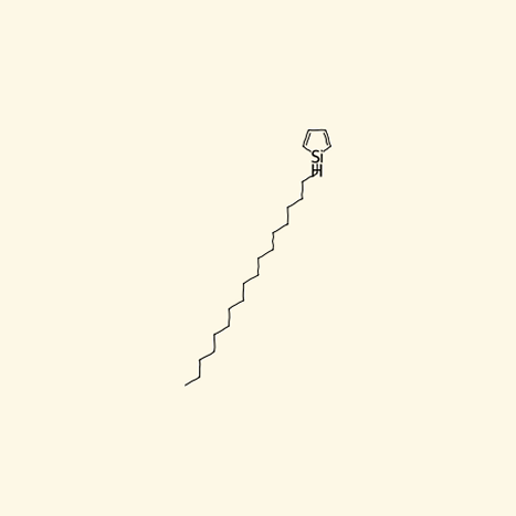 CCCCCCCCCCCCCCCCCC[SiH]1C=CC=C1